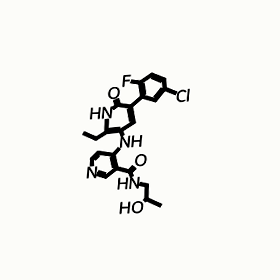 CCc1[nH]c(=O)c(-c2cc(Cl)ccc2F)cc1Nc1ccncc1C(=O)NCC(C)O